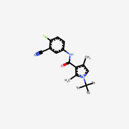 [2H]C([2H])([2H])n1cc(C)c(C(=O)Nc2ccc(F)c(C#N)c2)c1C